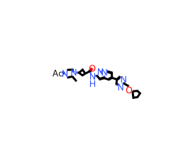 CC(=O)N1CCN(C2CC(C(=O)Nc3cc4cc(-c5cnc(COC6CCCC6)nc5)ccn4n3)C2)C(C)C1